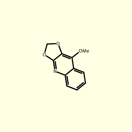 COc1c2c(nc3ccccc13)OCO2